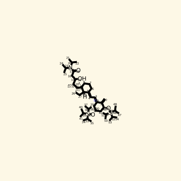 C=C1/C(=C/C=C2CCC[C@]3(C)[C@@H]([C@H](C)C(O)CC(=O)N(C(C)C)C(C)C)CC[C@@H]23)C[C@@H](O[Si](C(C)C)(C(C)C)C(C)C)C[C@@H]1O[Si](C(C)C)(C(C)C)C(C)C